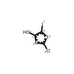 Oc1nc(Cl)sc1I